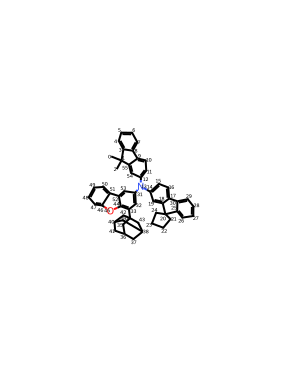 CC1(C)c2ccccc2-c2ccc(N(c3ccc4c(c3)C3(CCCC3)c3ccccc3-4)c3cc(C45CC6CC(CC(C6)C4)C5)c4oc5ccccc5c4c3)cc21